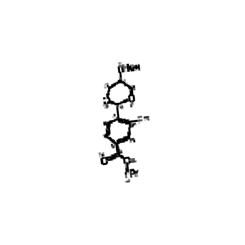 CCCCCCC1COC(c2ccc(C(=O)OCCC)cc2F)OC1